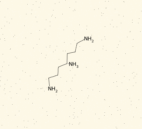 N.NCCC[CH]CCCN